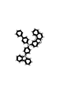 c1ccc(-c2ccc(N(c3ccc(-n4c5ccccc5c5ccccc54)cc3)c3ccc4oc5ccc6ccccc6c5c4c3)cc2)cc1